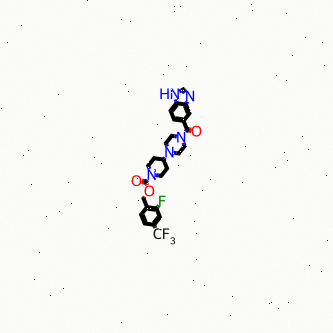 O=C(OCc1ccc(C(F)(F)F)cc1F)N1CCC(N2CCN(C(=O)c3ccc4[nH]cnc4c3)CC2)CC1